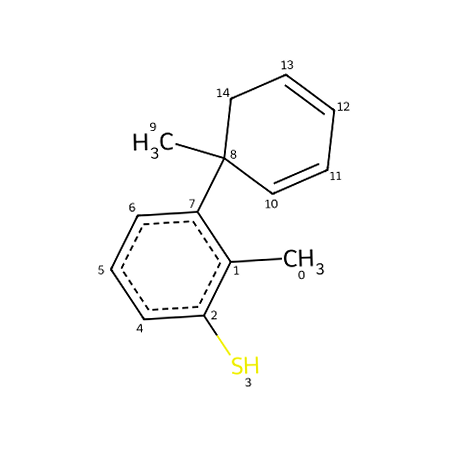 Cc1c(S)cccc1C1(C)C=CC=CC1